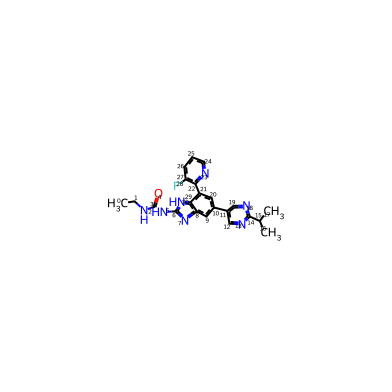 CCNC(=O)Nc1nc2cc(-c3cnc(C(C)C)nc3)cc(-c3ncccc3F)c2[nH]1